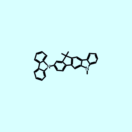 Cn1c2ccccc2c2cc3c(cc21)-c1ccc(-n2c4ccccc4c4ccccc42)cc1C3(C)C